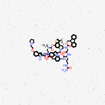 Cc1csc2c(OC(=O)N(C)CCN(C)C(=O)OCc3ccc(NC(=O)[C@H](CCCNC(N)=O)NC(=O)CNC(=O)OCC4c5ccccc5-c5ccccc54)cc3)cc3c(c12)CCN3C(=O)c1cc2cc(NC(=O)c3cc4cc(OCCN5CCCC5)ccc4[nH]3)ccc2[nH]1